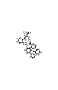 CCC(=O)OCC(COc1ccc2c(c1)C1(c3ccccc3-c3ccc(C)cc31)c1ccccc1-2)OC(=O)C1CC=CCC1C(=O)O